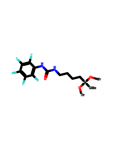 CO[Si](CCCCNC(=O)Nc1c(F)c(F)c(F)c(F)c1F)(OC(C)C)OC(C)C